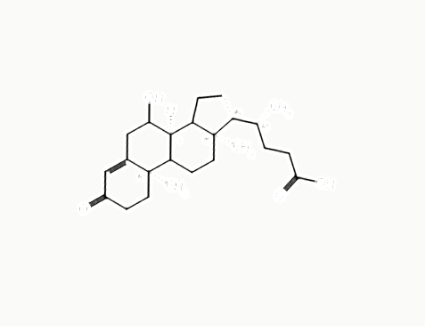 C[C@H](CCC(=O)O)[C@H]1CCC2[C@@H]3C(O)CC4=CC(=O)CC[C@]4(C)C3CC[C@@]21C